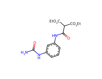 CCOC(=O)C(C(=O)Nc1cccc(NC(N)=O)c1)C(=O)OCC